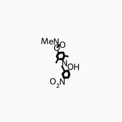 CNC(=O)Oc1cc(C)c(N=Cc2cc([N+](=O)[O-])ccc2O)c(C)c1